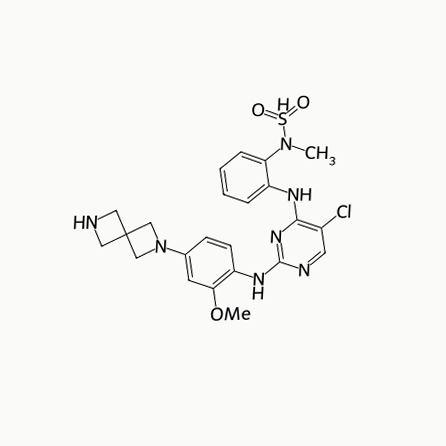 COc1cc(N2CC3(CNC3)C2)ccc1Nc1ncc(Cl)c(Nc2ccccc2N(C)[SH](=O)=O)n1